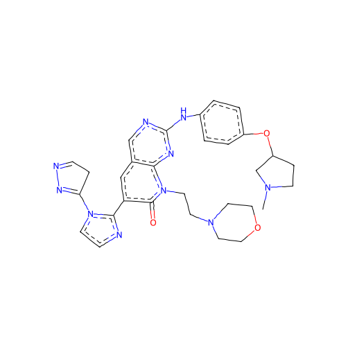 CN1CCC(Oc2ccc(Nc3ncc4cc(-c5nccn5C5=NN=CC5)c(=O)n(CCN5CCOCC5)c4n3)cc2)C1